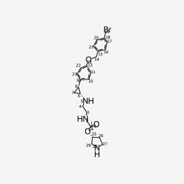 O=C(NCCN[C@@H]1C[C@H]1c1ccc(OCc2ccc(Br)cc2)cc1)O[C@@H]1CCNC1